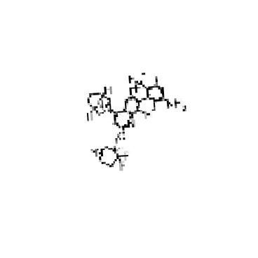 Cc1cc(N)c(F)c(-c2c(F)cc3c(N4C[C@H]5CC[C@@H](C4)N5)cc(OC[C@]4(C)CN(C)CCC4(F)F)nc3c2F)c1C(F)(F)F